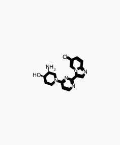 N[C@@H]1CN(c2ccnc(-c3cnc4ccc(Cl)cn34)n2)CC[C@H]1O